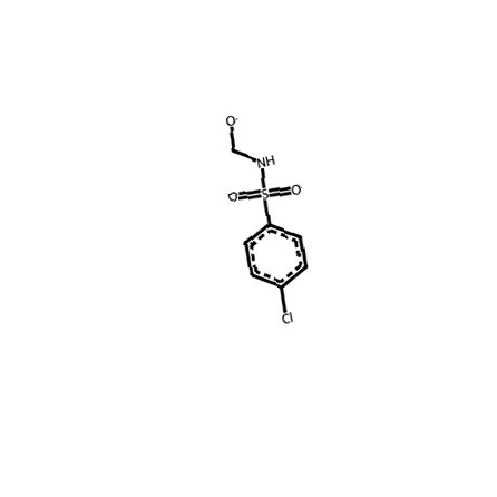 [O]CNS(=O)(=O)c1ccc(Cl)cc1